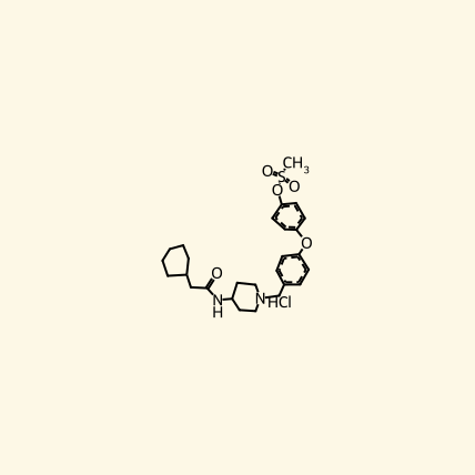 CS(=O)(=O)Oc1ccc(Oc2ccc(CN3CCC(NC(=O)CC4CCCCC4)CC3)cc2)cc1.Cl